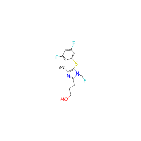 CC(C)c1nc(CCCO)n(CF)c1Sc1cc(F)cc(F)c1